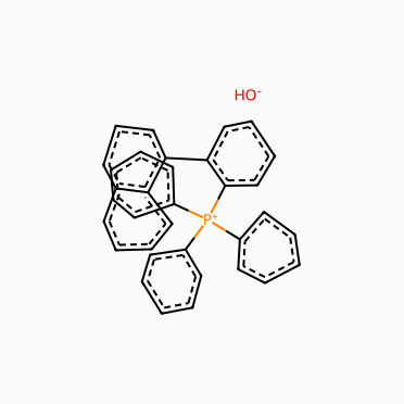 [OH-].c1ccc([P+](c2ccccc2)(c2ccccc2)c2ccccc2-c2cccc3ccccc23)cc1